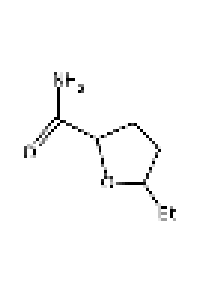 CCC1CCC(C(N)=O)O1